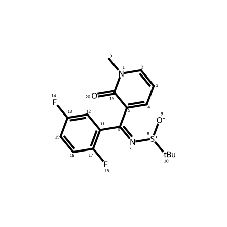 Cn1cccc(C(=N[S+]([O-])C(C)(C)C)c2cc(F)ccc2F)c1=O